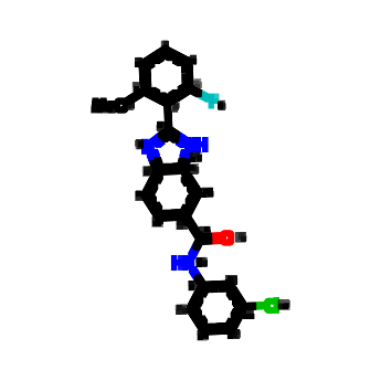 COc1cccc(F)c1-c1nc2ccc(C(=O)Nc3cccc(Cl)c3)cc2[nH]1